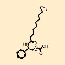 CCCCCCCCCC(=O)NC(CNC(=O)O)c1ccccc1